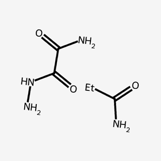 CCC(N)=O.NNC(=O)C(N)=O